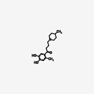 Cc1cc(O)c(O)cc1C(=O)CCCN1CCC(C)CC1